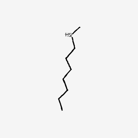 CCCCCCC[SiH]C